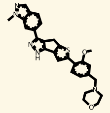 COc1cc(CN2CCOCC2)ccc1-c1cc2c(s1)Cc1c(-c3ccc4cnn(C)c4c3)n[nH]c1-2